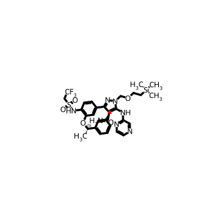 C[C@H](Oc1cc(-c2nn(COCC[Si](C)(C)C)c(Nc3cnccn3)c2C(N)=O)ccc1NS(=O)(=O)CC(F)(F)F)c1cccc(F)c1